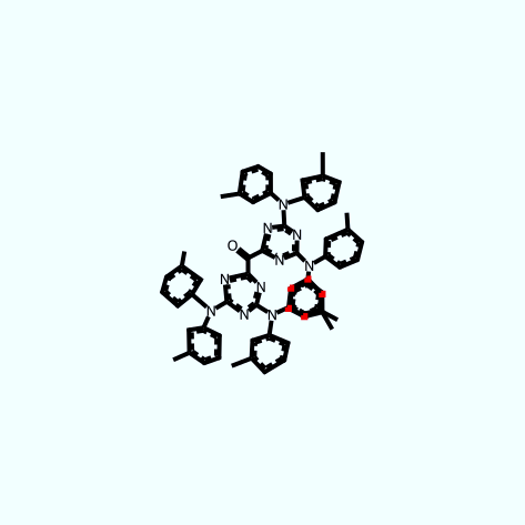 Cc1cccc(N(c2cccc(C)c2)c2nc(C(=O)c3nc(N(c4cccc(C)c4)c4cccc(C)c4)nc(N(c4cccc(C)c4)c4cccc(C)c4)n3)nc(N(c3cccc(C)c3)c3cccc(C)c3)n2)c1